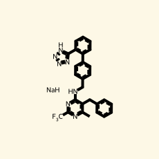 Cc1nc(C(F)(F)F)nc(NCc2ccc(-c3ccccc3-c3nnn[nH]3)cc2)c1Cc1ccccc1.[NaH]